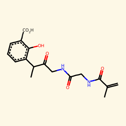 C=C(C)C(=O)NCC(=O)NCC(=O)C(C)c1cccc(C(=O)O)c1O